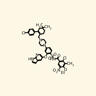 CCOc1c([N+](=O)[O-])cc(C(=O)NS(=O)(=O)c2ccc(N3CCN(CC4=C(c5ccc(Cl)cc5)CC(C)(C)CC4)CC3)cc2Oc2cnc3[nH]ccc3c2)c(Cl)c1C